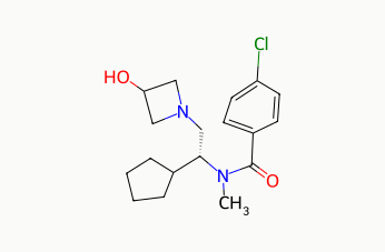 CN(C(=O)c1ccc(Cl)cc1)[C@@H](CN1CC(O)C1)C1CCCC1